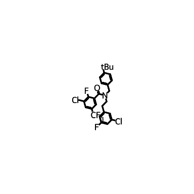 CC(C)(C)c1ccc(CN(CCc2cc(F)cc(Cl)c2)C(=O)c2cc(C(F)(F)F)cc(Cl)c2F)cc1